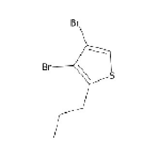 CCCc1scc(Br)c1Br